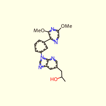 COc1cnc(-c2cccc(-n3cnc4cc(CC(C)O)cnc43)c2)c(OC)n1